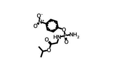 CC(C)OC(=O)CNP(N)(=O)Oc1ccc([N+](=O)[O-])cc1